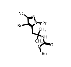 CCCn1nc(C#N)c(Br)c1CC(C)(C)NC(=O)OC(C)(C)C